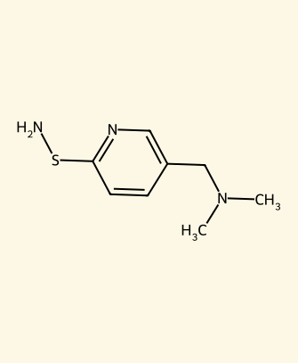 CN(C)Cc1ccc(SN)nc1